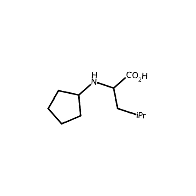 CC(C)CC(NC1CCCC1)C(=O)O